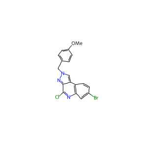 COc1ccc(Cn2cc3c(n2)c(Cl)nc2cc(Br)ccc23)cc1